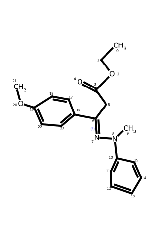 CCOC(=O)C/C(=N\N(C)c1ccccc1)c1ccc(OC)cc1